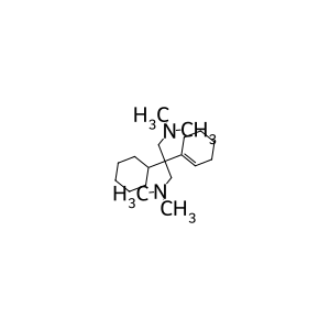 CN(C)CC(CN(C)C)(C1=CCCCC1)C1CCCCC1